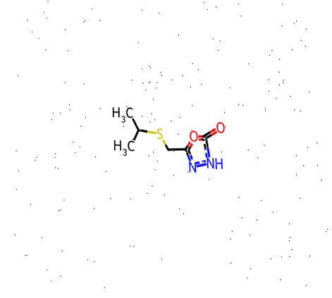 CC(C)SCc1n[nH]c(=O)o1